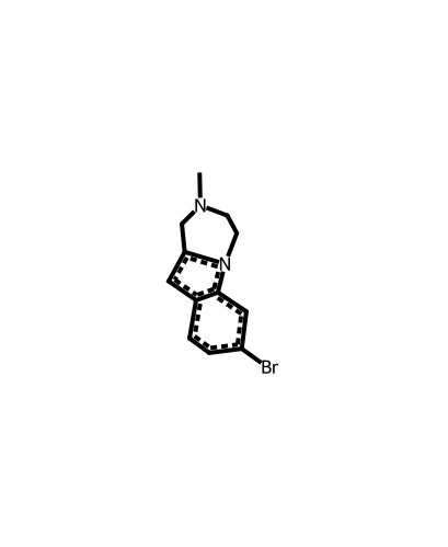 CN1CCn2c(cc3ccc(Br)cc32)C1